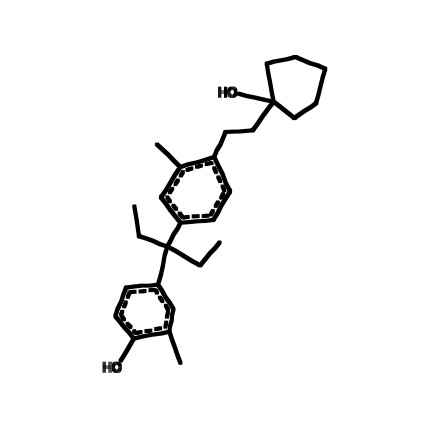 CCC(CC)(c1ccc(O)c(C)c1)c1ccc(CCC2(O)CCCCC2)c(C)c1